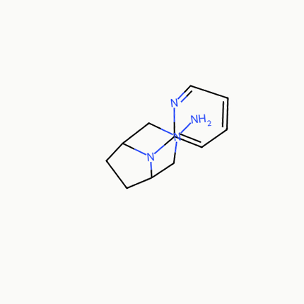 NN1CC2CCC(C1)N2c1ccccn1